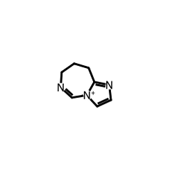 C1=C[N+]2C=NCCCC2=N1